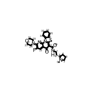 CN1CCC[C@H]1CCNC(=O)c1c(=O)c2cc(F)c(N3CCOCC3)nc2n2c1sc1ccccc12